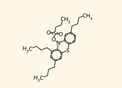 CCCCc1cc(CCCC)c2c(c1)Sc1ccc(CCCC)cc1N2OS(=O)(=O)CCC